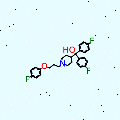 OC(c1ccc(F)cc1)(c1ccc(F)cc1)C1CCN(CCCOc2ccc(F)cc2)CC1